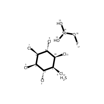 Cl[C@H]1[C@H](Cl)[C@@H](Cl)[C@@H](Cl)[C@H](Cl)[C@H]1Cl.S.[OH][Sb]([OH])[O]F